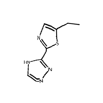 CCc1cnc(-c2nnc[nH]2)s1